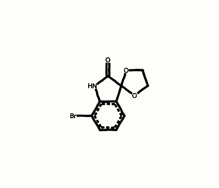 O=C1Nc2c(Br)cccc2C12OCCO2